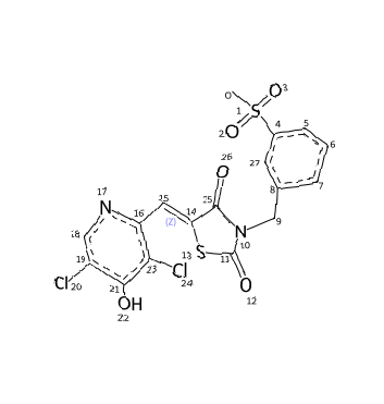 CS(=O)(=O)c1cccc(CN2C(=O)S/C(=C\c3ncc(Cl)c(O)c3Cl)C2=O)c1